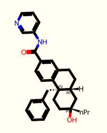 CCC[C@@]1(O)CC[C@@]2(Cc3ccccc3)c3ccc(C(=O)Nc4cccnc4)cc3CC[C@@H]2C1